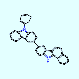 C1=CCCC(n2c3ccccc3c3cc(-c4ccc5[nH]c6c7ccccc7ccc6c5c4)ccc32)=C1